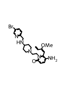 C=C/C(=C\c1c(N)ccc(=O)n1CCN1CCC(NCc2ccc(Br)cn2)CC1)OC